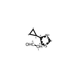 O=CO.c1nc(C2CC2)cs1